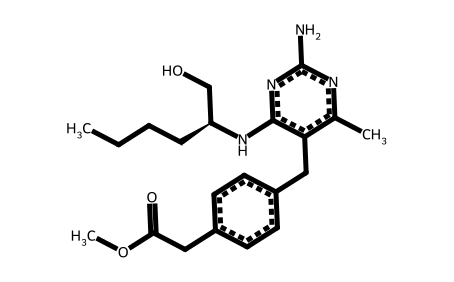 CCCC[C@@H](CO)Nc1nc(N)nc(C)c1Cc1ccc(CC(=O)OC)cc1